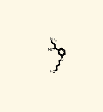 NCCC(O)c1cccc(OCCCCO)c1